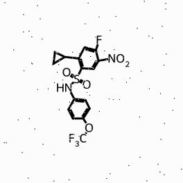 O=[N+]([O-])c1cc(S(=O)(=O)Nc2ccc(OC(F)(F)F)cc2)c(C2CC2)cc1F